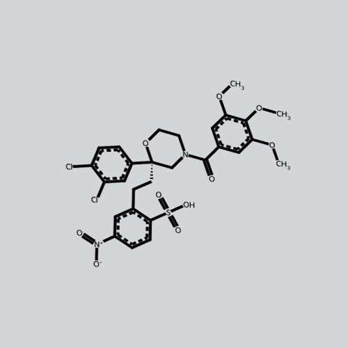 COc1cc(C(=O)N2CCO[C@](CCc3cc([N+](=O)[O-])ccc3S(=O)(=O)O)(c3ccc(Cl)c(Cl)c3)C2)cc(OC)c1OC